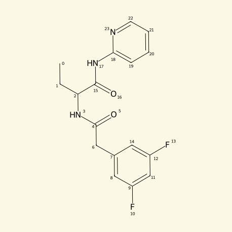 CCC(NC(=O)Cc1cc(F)cc(F)c1)C(=O)Nc1ccccn1